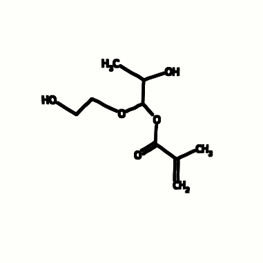 C=C(C)C(=O)OC(OCCO)C(C)O